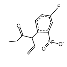 C=CC(C(=O)CC)c1ccc(F)cc1[N+](=O)[O-]